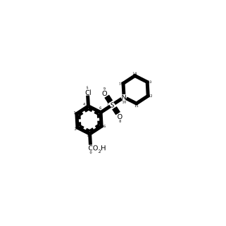 O=C(O)c1ccc(Cl)c(S(=O)(=O)N2CCCCC2)c1